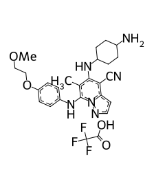 COCCOc1ccc(Nc2c(C)c(NC3CCC(N)CC3)c(C#N)c3ccnn23)cc1.O=C(O)C(F)(F)F